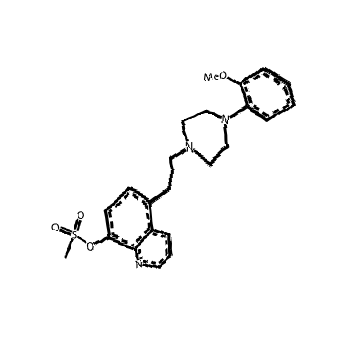 COc1ccccc1N1CCN(CCc2ccc(OS(C)(=O)=O)c3ncccc23)CC1